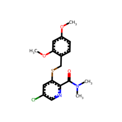 COc1ccc(CSc2cc(Cl)cnc2C(=O)N(C)C)c(OC)c1